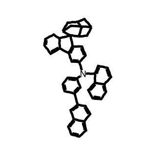 C1=CCC2C(=C1)c1cc(N(c3cccc(-c4ccc5ccccc5c4)c3)c3cccc4ccccc34)ccc1C21C2CC3CC(C2)CC1C3